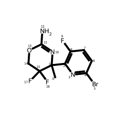 CC1(c2nc(Br)ccc2F)N=C(N)OCC1(F)F